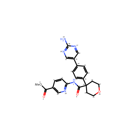 COC(=O)c1ccc(NC(=O)C2(c3ccc(-c4cnc(N)nc4)cc3)CCOCC2)nc1